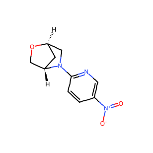 O=[N+]([O-])c1ccc(N2C[C@H]3C[C@H]2CO3)nc1